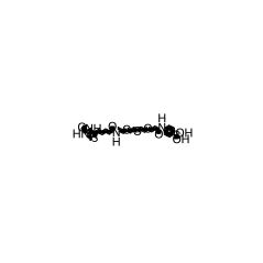 O=C(CCCCC1SCC2NC(=O)NC21)NCCOCCOCCOCCC(=O)Nc1ccc(B(O)O)cc1